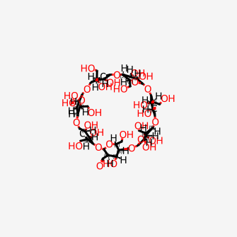 O=C[C@H]1C2OC3[C@@H](CO)CC(O[C@H]4[C@H](O)[C@@H](O)C(OC5[C@@H](CO)CC(O[C@H]6[C@H](O)[C@@H](O)C(OC7[C@@H](CO)CC(O[C@H]8[C@H](O)[C@@H](O)C(O[C@@H]([C@@H]1O)[C@@H](CO)O2)O[C@@H]8CO)[C@H](O)[C@H]7O)O[C@@H]6CO)[C@H](O)[C@H]5O)O[C@@H]4CO)[C@H](O)[C@H]3O